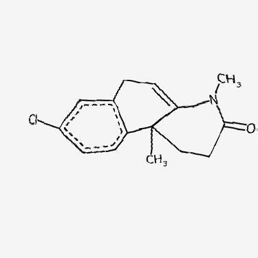 CN1C(=O)CCC2(C)C1=CCc1cc(Cl)ccc12